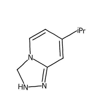 CC(C)C1=CC2=NNCN2C=C1